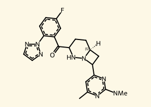 CNc1nc(C)cc(C2C[C@@H]3CCC(C(=O)c4cc(F)ccc4-n4nccn4)NN23)n1